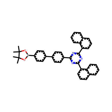 CC1(C)OB(c2ccc(-c3ccc(-c4nc(-c5cccc6ccccc56)nc(-c5cccc6ccccc56)n4)cc3)cc2)OC1(C)C